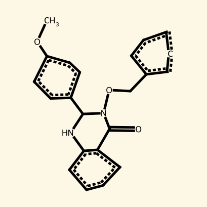 COc1ccc(C2Nc3ccccc3C(=O)N2OCc2ccccc2)cc1